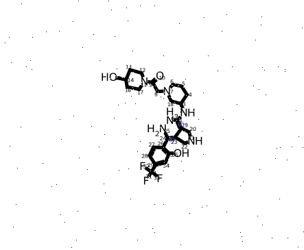 N/C(NC1CCCN(CC(=O)N2CCC(O)CC2)C1)=C1/CNC/C1=C(/N)c1ccc(C(F)(F)F)cc1O